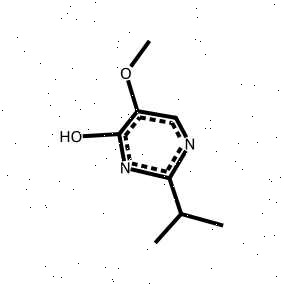 COc1cnc(C(C)C)nc1O